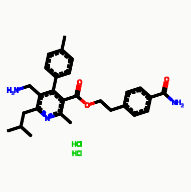 Cc1ccc(-c2c(CN)c(CC(C)C)nc(C)c2C(=O)OCCc2ccc(C(N)=O)cc2)cc1.Cl.Cl